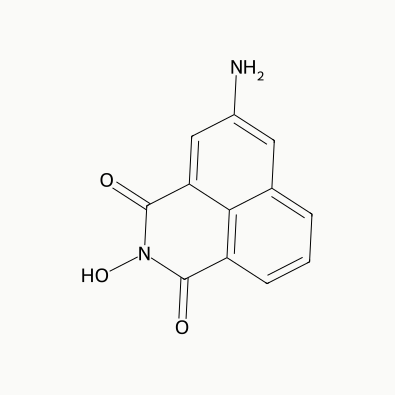 Nc1cc2c3c(cccc3c1)C(=O)N(O)C2=O